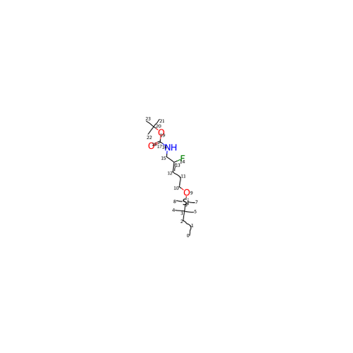 CCCC(C)(C)[Si](C)(C)OCC/C=C(\F)CNC(=O)OC(C)(C)C